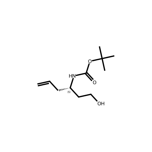 C=CC[C@@H](CCO)NC(=O)OC(C)(C)C